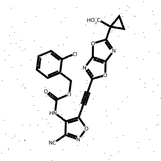 N#Cc1noc(C#Cc2nc3oc(C4(C(=O)O)CC4)nc3o2)c1NC(=O)OCc1ccccc1Cl